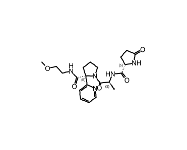 COCCNC(=O)[C@]1(c2ccccn2)CCCN1C(=O)[C@H](C)NC(=O)[C@@H]1CCC(=O)N1